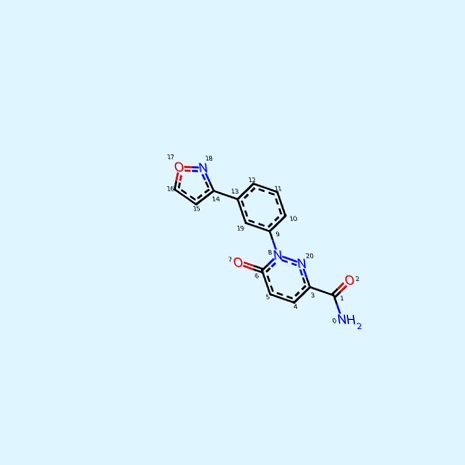 NC(=O)c1ccc(=O)n(-c2cccc(-c3ccon3)c2)n1